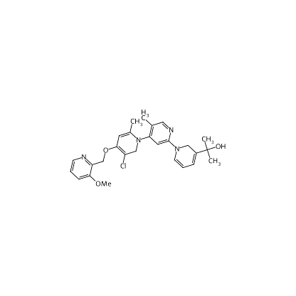 COc1cccnc1COC1=C(Cl)CN(c2cc(N3C=CC=C(C(C)(C)O)C3)ncc2C)C(C)=C1